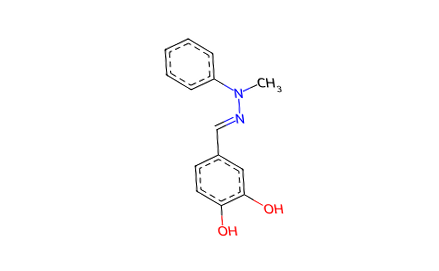 CN(N=Cc1ccc(O)c(O)c1)c1ccccc1